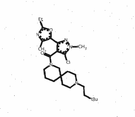 CCc1nc(C)c(-c2nn(C)c(Cl)c2C(=O)N2CCCC3(CCN(CCC(C)(C)C)CC3)C2)o1